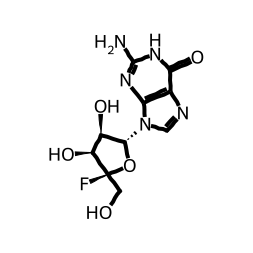 Nc1nc2c(ncn2[C@@H]2O[C@](F)(CO)[C@@H](O)[C@H]2O)c(=O)[nH]1